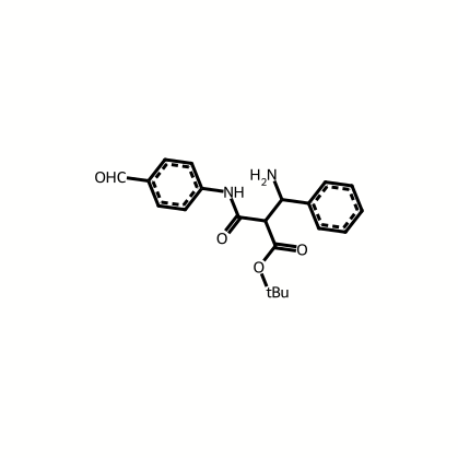 CC(C)(C)OC(=O)C(C(=O)Nc1ccc(C=O)cc1)C(N)c1ccccc1